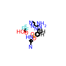 O=C(O)C(F)(F)F.[2H]C([2H])([2H])c1ccc(S(=O)(=O)NC23CC(C#N)(C2)C3)cc1-c1cnc(N)c(-c2ccncn2)n1